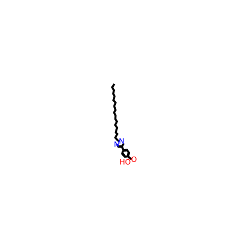 CCCCCCCCCCCCCCCCCCc1ncc(-c2ccc(C(=O)O)cc2)cn1